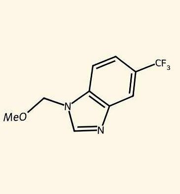 COCn1cnc2cc(C(F)(F)F)ccc21